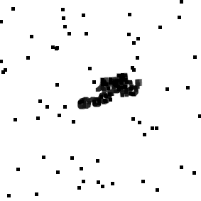 Cc1cnc(NC(=O)c2nnc(Cc3ccccc3F)[nH]2)cc1-c1cc(OCC2CCOCC2)ccc1F